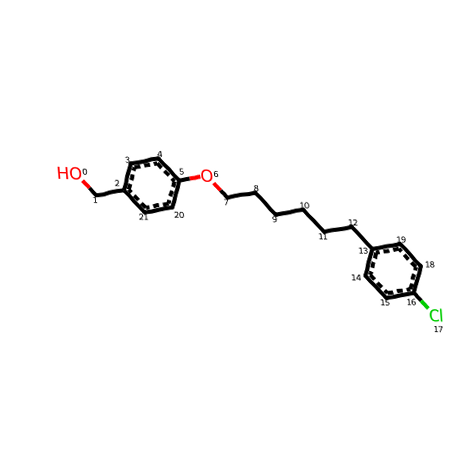 OCc1ccc(OCCCCCCc2ccc(Cl)cc2)cc1